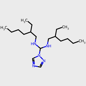 CCCCC(CC)CNC(NCC(CC)CCCC)n1cncn1